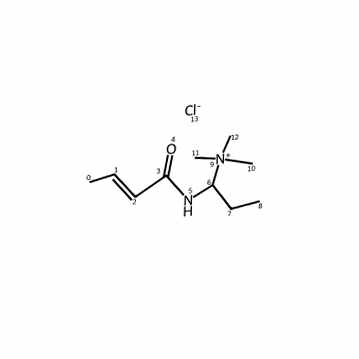 CC=CC(=O)NC(CC)[N+](C)(C)C.[Cl-]